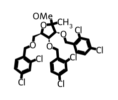 COC1(C)O[C@H](COCc2ccc(Cl)cc2Cl)[C@@H](OCc2ccc(Cl)cc2Cl)[C@H]1OCc1ccc(Cl)cc1Cl